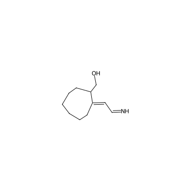 N=C/C=C1\CCCCCCC1CO